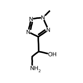 Cn1nnc(C(O)CN)n1